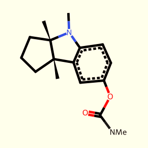 CNC(=O)Oc1ccc2c(c1)[C@]1(C)CCC[C@]1(C)N2C